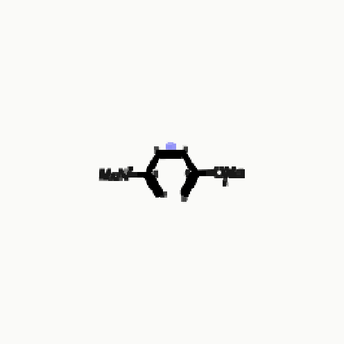 C=C(/C=C\C(=C)OC)NC